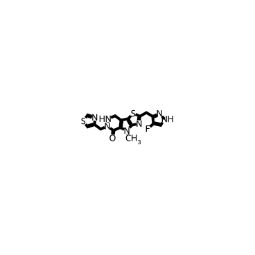 Cn1c2c(c3sc(Cc4n[nH]cc4F)nc31)CNN(Cc1cscn1)C2=O